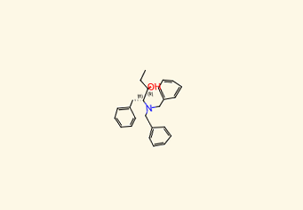 CC[C@@H](O)[C@@H](Cc1ccccc1)N(Cc1ccccc1)Cc1ccccc1